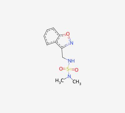 CN(C)S(=O)(=O)NCc1noc2ccccc12